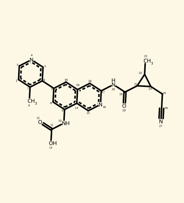 Cc1ccncc1-c1cc(NC(=O)O)c2cnc(NC(=O)C3C(C)C3CC#N)cc2c1